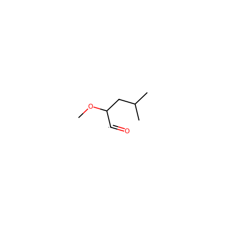 COC([C]=O)CC(C)C